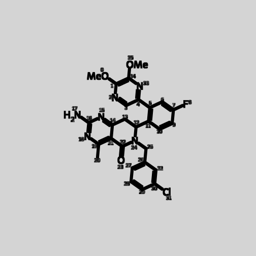 COc1ncc(-c2cc(F)ccc2C2Cc3nc(N)nc(C)c3C(=O)N2Cc2cccc(Cl)c2)nc1OC